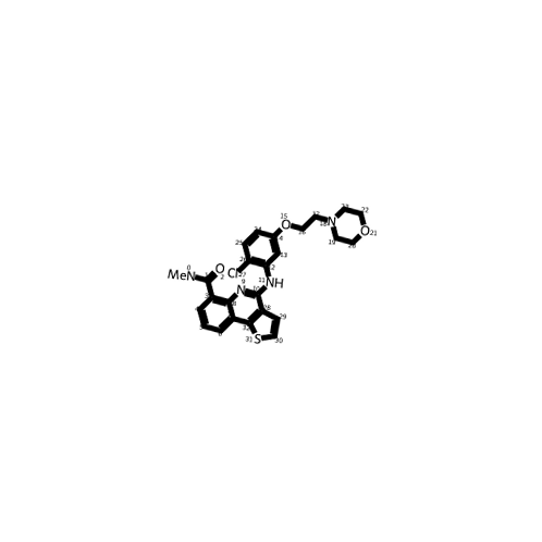 CNC(=O)c1cccc2c1nc(Nc1cc(OCCN3CCOCC3)ccc1Cl)c1ccsc12